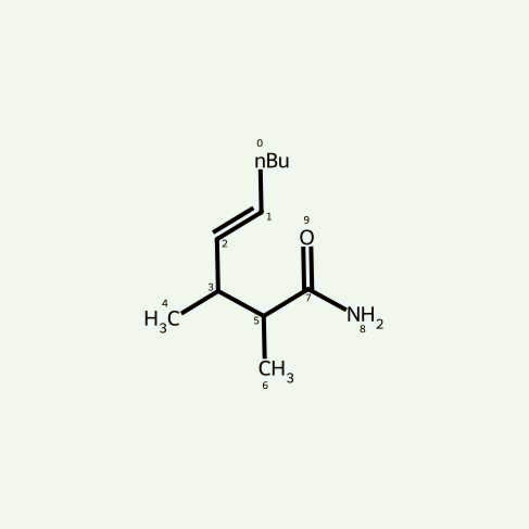 CCCCC=CC(C)C(C)C(N)=O